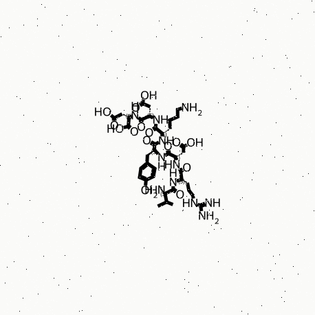 CC(C)[C@H](N)C(=O)N[C@@H](CCCNC(=N)N)C(=O)N[C@@H](CC(=O)O)C(=O)N[C@@H](Cc1ccc(O)cc1)C(=O)N[C@@H](CCCCN)C(=O)N[C@@H](CC(=O)O)C(=O)N[C@@H](CC(=O)O)C(=O)O